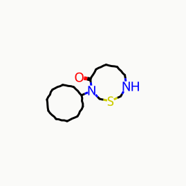 O=C1CCCCNCSCN1C1CCCCCCCCC1